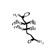 CCCCC(CCCC)(CCC(N)=O)C(CCCC)(CCCC)C(N)=O